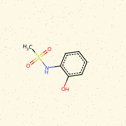 CS(=O)(=O)Nc1cc[c]cc1O